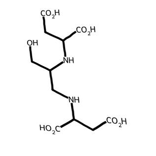 O=C(O)CC(NCC(CO)NC(CC(=O)O)C(=O)O)C(=O)O